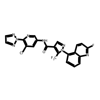 O=C(Nc1cnc(-n2nccn2)c(Cl)c1)c1cnn(-c2cccc3nc(F)ccc23)c1C(F)(F)F